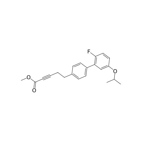 COC(=O)C#CCCc1ccc(-c2cc(OC(C)C)ccc2F)cc1